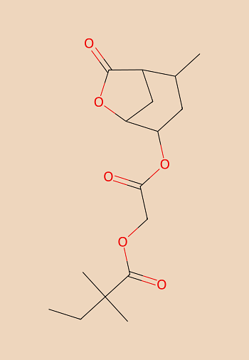 CCC(C)(C)C(=O)OCC(=O)OC1CC(C)C2CC1OC2=O